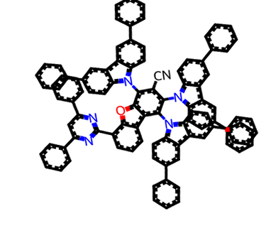 N#Cc1c(-n2c3ccc(-c4ccccc4)cc3c3cc(-c4ccccc4)ccc32)c(-n2c3ccc(-c4ccccc4)cc3c3cc(-c4ccccc4)ccc32)c2c(oc3c(-c4nc(-c5ccccc5)cc(-c5ccccc5)n4)cccc32)c1-n1c2ccc(-c3ccccc3)cc2c2cc(-c3ccccc3)ccc21